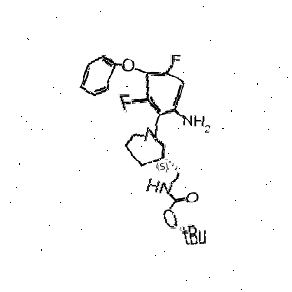 CC(C)(C)OC(=O)NC[C@@H]1CCCN(c2c(N)cc(F)c(Oc3ccccc3)c2F)C1